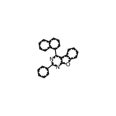 c1ccc(-c2nc(-c3cccc4ccccc34)c3c(n2)oc2ccccc23)cc1